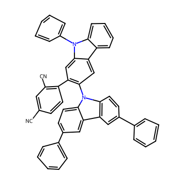 N#Cc1ccc(-c2cc3c(cc2-n2c4ccc(-c5ccccc5)cc4c4cc(-c5ccccc5)ccc42)c2ccccc2n3-c2ccccc2)c(C#N)c1